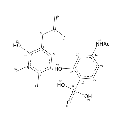 C=C(C)Cc1ccc(C)c(C)c1O.CC(=O)Nc1ccc([As](=O)(O)O)c(O)c1